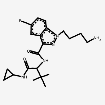 CC(C)(C)C(NC(=O)c1nn(CCCCN)c2ccc(F)cc12)C(=O)NC1CC1